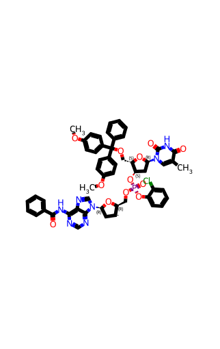 COc1ccc(C(OC[C@@H]2O[C@@H](n3cc(C)c(=O)[nH]c3=O)C[C@@H]2OP(=O)(OC[C@H]2[CH]C[C@H](n3cnc4c(NC(=O)c5ccccc5)ncnc43)O2)Oc2ccccc2Cl)(c2ccccc2)c2ccc(OC)cc2)cc1